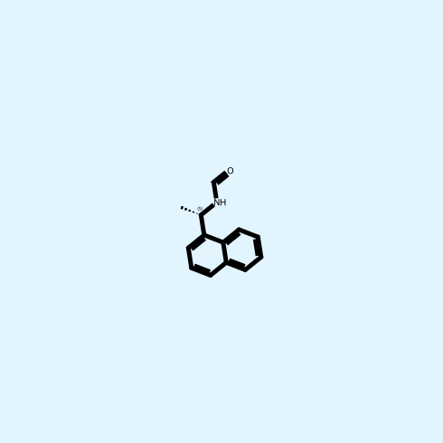 C[C@H](N[C]=O)c1cccc2ccccc12